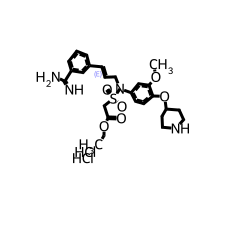 CCOC(=O)CS(=O)(=O)N(C/C=C/c1cccc(C(=N)N)c1)c1ccc(OC2CCNCC2)c(OC)c1.Cl.Cl